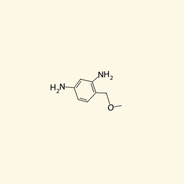 COCc1ccc(N)cc1N